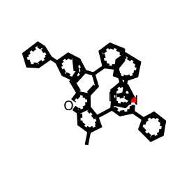 C=C/C=c1/oc2cc(C)cc(-c3cc(-c4ccccc4)nc(-c4ccccc4)n3)c2/c1=C/C(c1ccc(-c2ccccc2)cc1)c1ccccc1-c1ccccc1